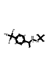 CC(NSC(C)(C)C)c1ccc(C(F)(F)F)cc1